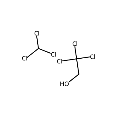 ClC(Cl)Cl.OCC(Cl)(Cl)Cl